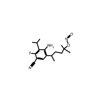 CC(C)c1c(N)c(C(C)CCC(C)(C)ON=O)cc(C#N)c1F